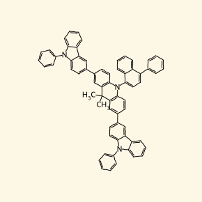 CC1(C)c2cc(-c3ccc4c(c3)c3ccccc3n4-c3ccccc3)ccc2N(c2ccc(-c3ccccc3)c3ccccc23)c2ccc(-c3ccc4c(c3)c3ccccc3n4-c3ccccc3)cc21